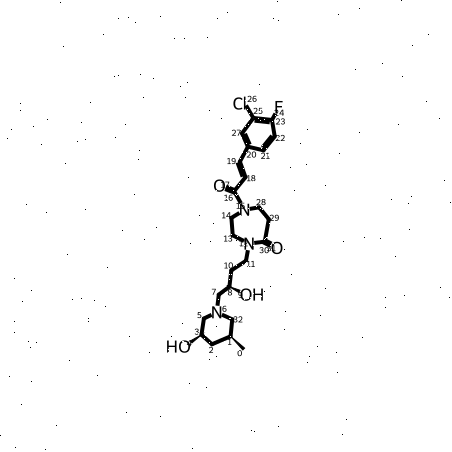 C[C@H]1C[C@@H](O)CN(C[C@H](O)CCN2CCN(C(=O)/C=C/c3ccc(F)c(Cl)c3)CCC2=O)C1